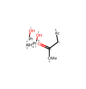 CC(C)O.CC(C)O.COC(=O)CC(C)=O.[AlH3]